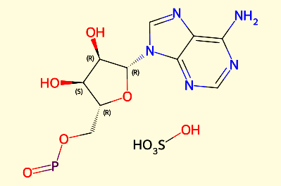 Nc1ncnc2c1ncn2[C@@H]1O[C@H](COP=O)[C@@H](O)[C@H]1O.O=S(=O)(O)O